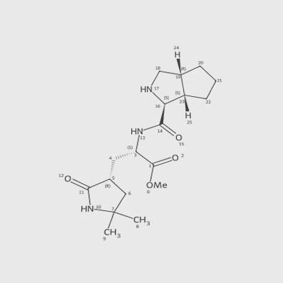 COC(=O)[C@H](C[C@@H]1CC(C)(C)NC1=O)NC(=O)[C@H]1NC[C@@H]2CCC[C@@H]21